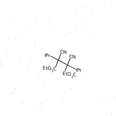 CCOC(=O)C(C#N)(C(C)C)C(C#N)(C(=O)OCC)C(C)C